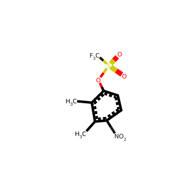 Cc1c(OS(=O)(=O)C(F)(F)F)ccc([N+](=O)[O-])c1C